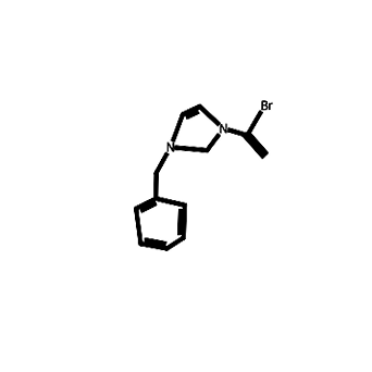 C=C(Br)N1C=CN(Cc2ccccc2)C1